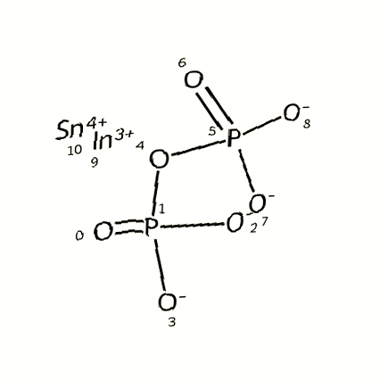 O=P([O-])([O-])OP(=O)([O-])[O-].[In+3].[Sn+4]